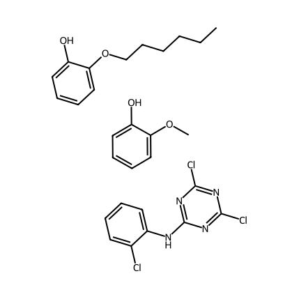 CCCCCCOc1ccccc1O.COc1ccccc1O.Clc1nc(Cl)nc(Nc2ccccc2Cl)n1